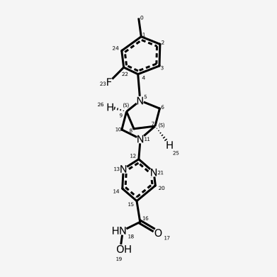 Cc1ccc(N2C[C@@H]3C[C@H]2CN3c2ncc(C(=O)NO)cn2)c(F)c1